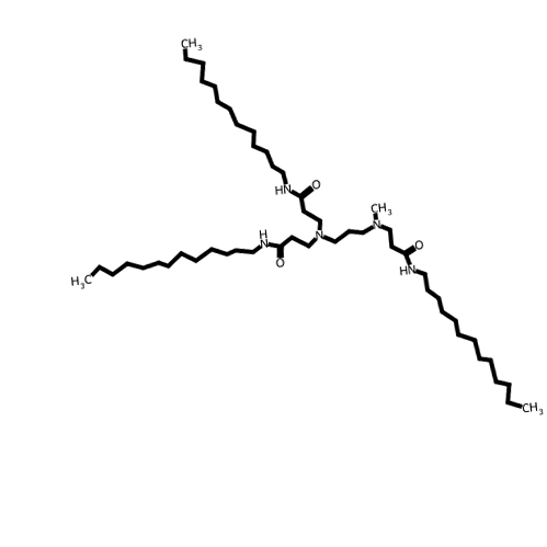 CCCCCCCCCCCCCNC(=O)CCN(C)CCCN(CCC(=O)NCCCCCCCCCCCCC)CCC(=O)NCCCCCCCCCCCCC